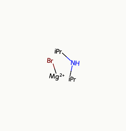 CC(C)NC(C)C.[Mg+2][Br]